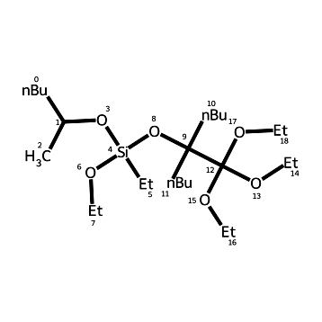 CCCCC(C)O[Si](CC)(OCC)OC(CCCC)(CCCC)C(OCC)(OCC)OCC